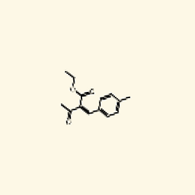 CCOC(=O)C(=Cc1ccc(C)cc1)C(C)=O